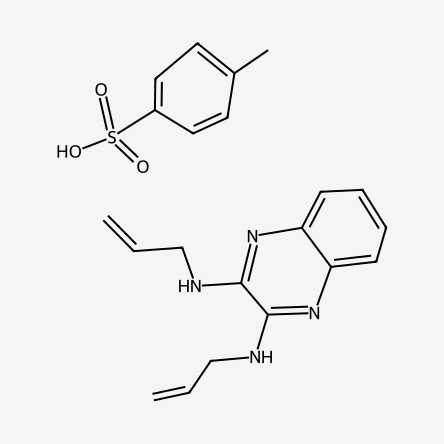 C=CCNc1nc2ccccc2nc1NCC=C.Cc1ccc(S(=O)(=O)O)cc1